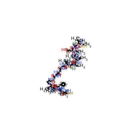 C=C(S)NC(=O)[C@@H](NC(=O)[C@H](CS)NC(=O)[C@H](CCC(=O)O)NC(=O)C(=C)NC(=O)[C@H](CC)NC(=O)[C@H](CC(C)C)NC(=O)[C@@H](CC)NC(=O)[C@H](CS)NC(=O)[C@@H](NC(=O)CNC(=O)CNC(=O)CNC(=O)CNC(=O)[C@@H]1CCCN1C(=O)[C@H](CC(C)C)NC(=O)[C@@H](CC)NC(=O)[C@H](Cc1ccccc1)NC(=O)[C@@H](CC)NC(=O)[C@@H](N)CS)C(C)C)[C@@H](C)CC